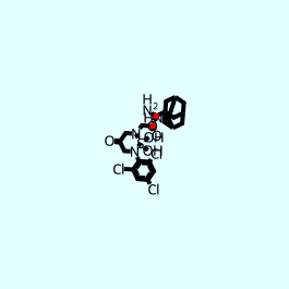 NC(=O)C12CC3CC(C1)C(NC(=O)CN1CC(=O)CN(c4c(Cl)cc(Cl)cc4Cl)S1(O)O)C(C3)C2